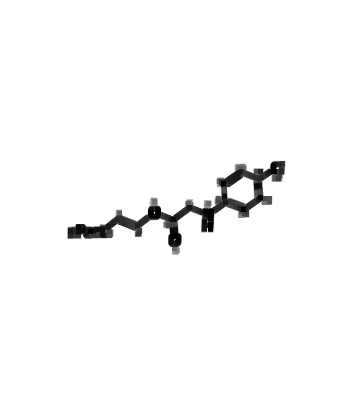 CCCCC/C=C/OC(=O)CNc1ccc(Cl)cc1